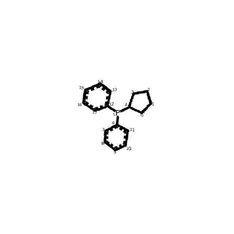 [CH]1CCCC1P(c1ccccc1)c1ccccc1